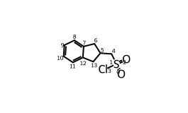 O=S(=O)(Cl)CC1Cc2ccccc2C1